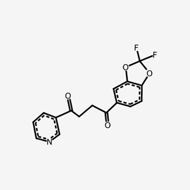 O=C(CCC(=O)c1ccc2c(c1)OC(F)(F)O2)c1cccnc1